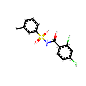 Cc1cccc(S(=O)(=O)NC(=O)c2ccc(Cl)cc2Cl)c1